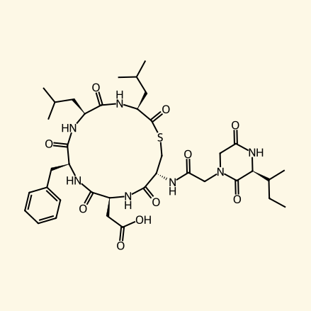 CCC(C)[C@@H]1NC(=O)CN(CC(=O)N[C@H]2CSC(=O)[C@H](CC(C)C)NC(=O)[C@H](CC(C)C)NC(=O)[C@H](Cc3ccccc3)NC(=O)[C@H](CC(=O)O)NC2=O)C1=O